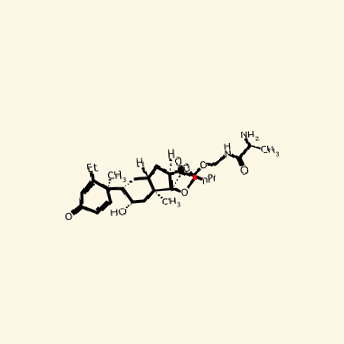 CCCC1O[C@@H]2C[C@H]3C[C@@H]([C@@]4(C)C=CC(=O)C=C4CC)[C@@H](O)C[C@]3(C)[C@]2(C(=O)COCNC(=O)[C@H](C)N)O1